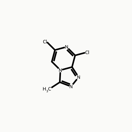 Cc1nnc2c(Cl)nc(Cl)cn12